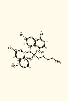 NCCCC[C@@](C=O)(C(=O)O)N(c1cc(O)cc2c(O)cccc12)c1cc(O)cc2c(O)cccc12